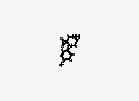 Fc1ccc(N2CCNCC23CC3)cc1